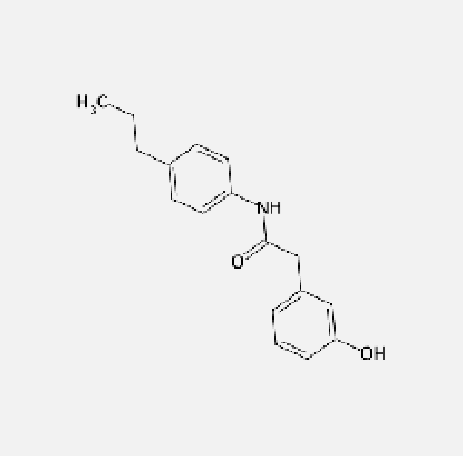 CCCc1ccc(NC(=O)Cc2cccc(O)c2)cc1